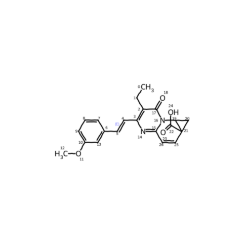 CCc1c(/C=C/c2cccc(OC)c2)nc2n(c1=O)C1CC1(C(=O)O)C=C2